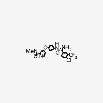 CNC(=O)c1cc(Oc2ccc(NC(=O)N(N)c3ccc(Cl)c(C(F)(F)F)c3)cc2)ccn1